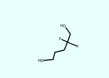 OCCCC(F)(F)CO